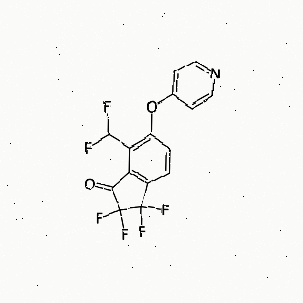 O=C1c2c(ccc(Oc3ccncc3)c2C(F)F)C(F)(F)C1(F)F